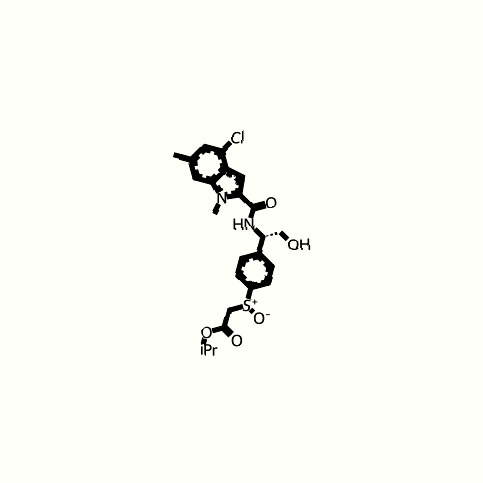 Cc1cc(Cl)c2cc(C(=O)N[C@H](CO)c3ccc([S+]([O-])CC(=O)OC(C)C)cc3)n(C)c2c1